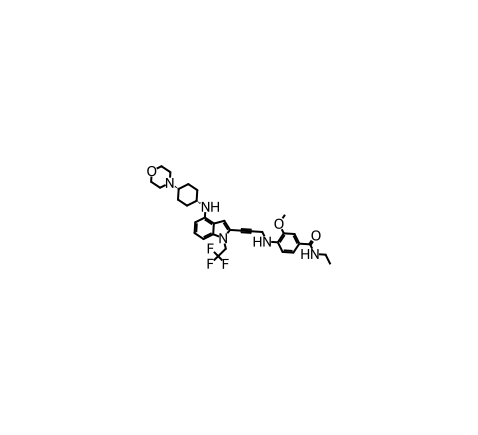 CCNC(=O)c1ccc(NCC#Cc2cc3c(N[C@H]4CC[C@@H](N5CCOCC5)CC4)cccc3n2CC(F)(F)F)c(OC)c1